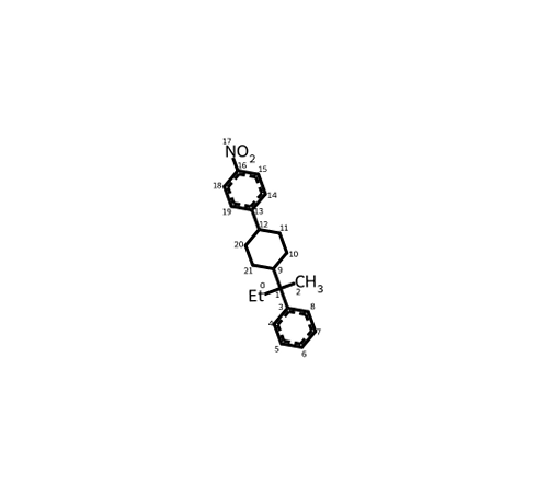 [CH2]CC(C)(c1ccccc1)C1CCC(c2ccc([N+](=O)[O-])cc2)CC1